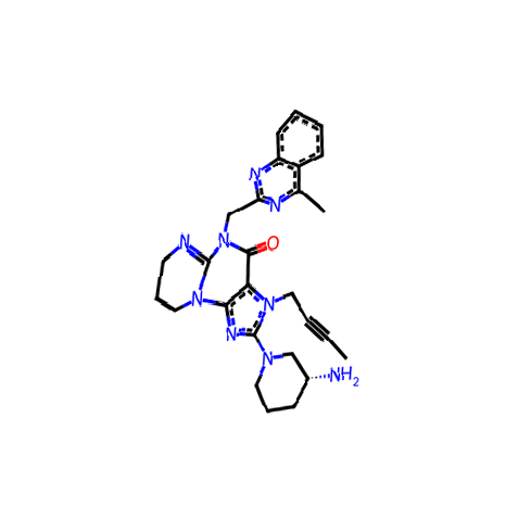 CC#CCn1c(N2CCC[C@@H](N)C2)nc2c1C(=O)N(Cc1nc(C)c3ccccc3n1)C1=NCCCN12